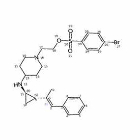 C/C(=C\c1ccccc1)[C@@H]1C[C@H]1NC1CCN(CCOS(=O)(=O)c2ccc(Br)cc2)CC1